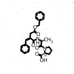 C[C@H](NC(=O)C(=Cc1ccccc1)CC(=O)OCc1ccccc1)C(=O)N1CCC[C@H]1C(=O)O